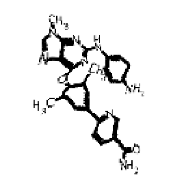 Cc1cc(-c2ccc(C(N)=O)cn2)cc(C)c1Oc1nc(Nc2ccc(N)cc2)nc2c1ncn2C